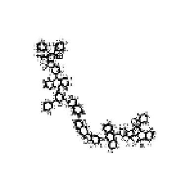 CC1(C)c2cc(-c3c4ccccc4c(-c4cc(-c5ccccc5)cc(-c5ccc6ccc(-c7ccc8cc9oc%10ccc(-c%11c%12ccccc%12c(-c%12ccc%13c(c%12)C(C)(C)c%12c%14c(c%15c(oc%16ccccc%16%15)c%12-%13)-c%12ccccc%12C%14(C)C)c%12ccccc%11%12)cc%10c9cc8c7)cc6c5)c4)c4ccccc34)ccc2-c2c1c1c(c3c2oc2ccccc23)-c2ccccc2C1(C)C